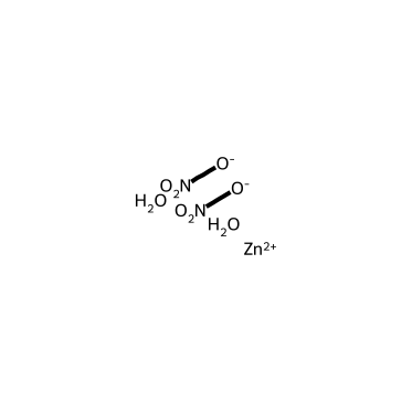 O.O.O=[N+]([O-])[O-].O=[N+]([O-])[O-].[Zn+2]